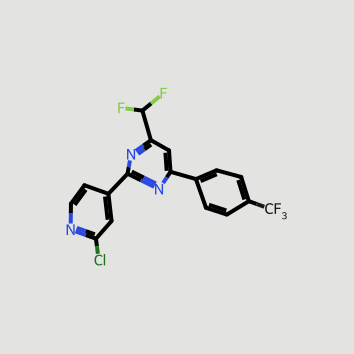 FC(F)c1cc(-c2ccc(C(F)(F)F)cc2)nc(-c2ccnc(Cl)c2)n1